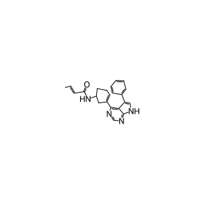 C/C=C/C(=O)NC1CCC=C(c2ncnc3[nH]cc(-c4ccccc4)c23)C1